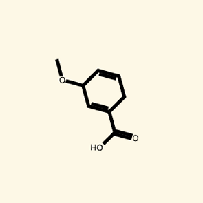 COC1C=CCC(C(=O)O)=C1